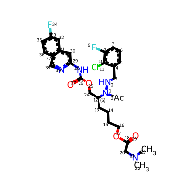 CC(=O)N(NCc1cccc(F)c1Cl)[C@@H](CCCCOC(=O)CN(C)C)COC(=O)Nc1cc2cc(F)ccc2cn1